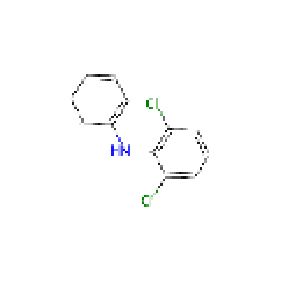 Clc1cccc(Cl)c1NC1=CC=CC[CH]1